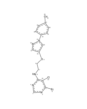 CCc1ncnc(NCCOc2cnn(-c3ccc(C)cc3)c2)c1Cl